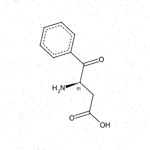 N[C@H](CC(=O)O)C(=O)c1cc[c]cc1